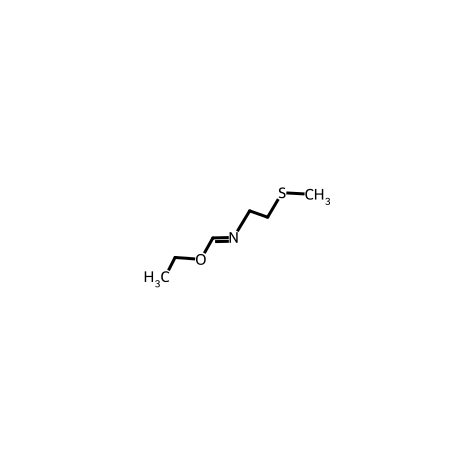 CCOC=NCCSC